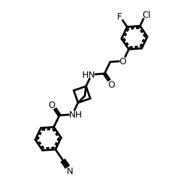 N#Cc1cccc(C(=O)NC23CC(NC(=O)COc4ccc(Cl)c(F)c4)(C2)C3)c1